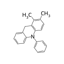 Cc1ccc2c(c1C)Cc1ccccc1N2c1ccccc1